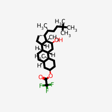 C[C@H](CCC(C)(C)C)[C@H]1CC[C@H]2[C@@H]3CC[C@@H]4C[C@H](OC(=O)C(F)(F)F)CC[C@]4(C)[C@H]3C[C@H](O)[C@]12C